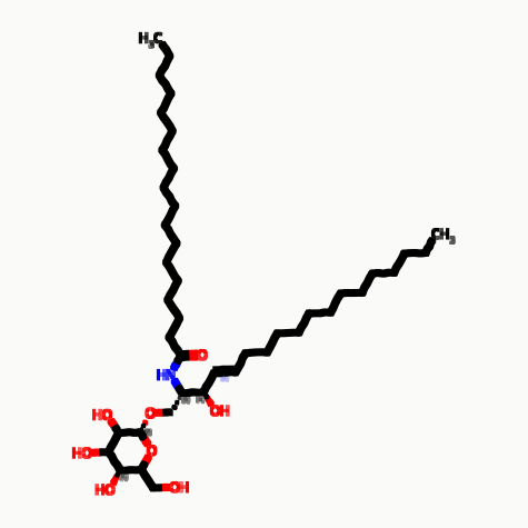 CCCCCCCCCCCCC/C=C/[C@@H](O)[C@H](CO[C@@H]1OC(CO)[C@@H](O)C(O)C1O)NC(=O)CCCCCCCCCCCCCCCCC